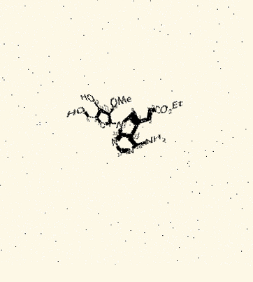 CCOC(=O)C=Cc1cn([C@@H]2O[C@H](CO)[C@@H](O)[C@H]2OC)c2ncnc(N)c12